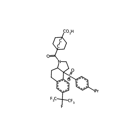 CC(C)c1ccc(S(=O)(=O)C23CCN(C(=O)C45CCC(C(=O)O)(CC4)CC5)C2CCc2cc(C(F)(C(F)(F)F)C(F)(F)F)ccc23)cc1